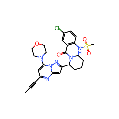 CC#Cc1cc(N2CCOCC2)n2nc([C@@H]3CCCCN3C(=O)c3cc(Cl)ccc3NS(C)(=O)=O)cc2n1